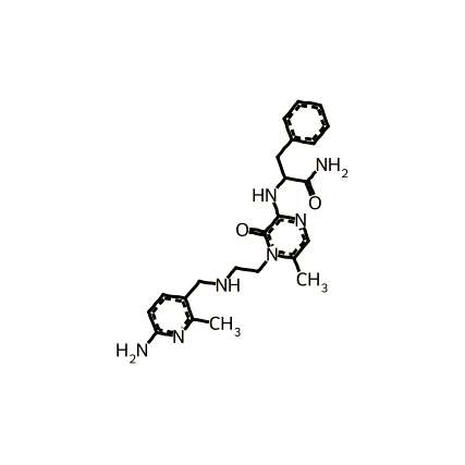 Cc1nc(N)ccc1CNCCn1c(C)cnc(NC(Cc2ccccc2)C(N)=O)c1=O